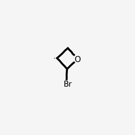 BrC1[CH]CO1